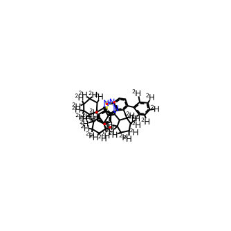 [2H]c1c([2H])c([2H])c(-c2ccc3sc4ccccc4c3c2C2([2H])C(c3nnnc(C4([2H])C([2H])C([2H])([2H])C([2H])([2H])C([2H])([2H])C4([2H])[2H])c3C3([2H])C([2H])C([2H])([2H])C([2H])([2H])C([2H])([2H])C3([2H])[2H])C([2H])([2H])C([2H])([2H])C([2H])([2H])C2([2H])[2H])c([2H])c1[2H]